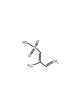 C=CC(C)=CS(=O)(=O)O